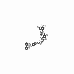 COc1cc(NC(=O)CCCN(C)C(=O)CCN2CC3CC(OC(=O)Nc4ccccc4-c4ccccc4)CC3C2)c(Cl)cc1CNC[C@H](O[Si](C)(C)C(C)(C)C)c1ccc(O)c2[nH]c(=O)ccc12